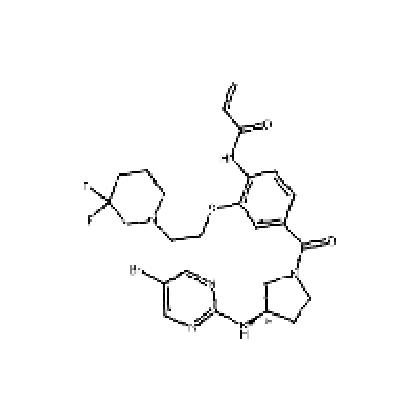 C=CC(=O)Nc1ccc(C(=O)N2CC[C@@H](Nc3ncc(Br)cn3)C2)cc1OCCN1CCCC(F)(F)C1